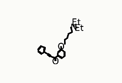 CCN(CC)CCCCCCOc1cccc(C(=O)C#Cc2ccccc2)c1